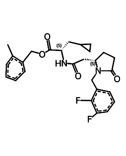 Cc1ccccc1COC(=O)[C@H](CC1CC1)NC(=O)C[C@@H]1CCC(=O)N1Cc1cccc(F)c1F